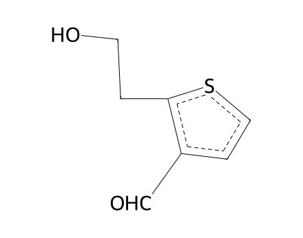 O=Cc1ccsc1CCO